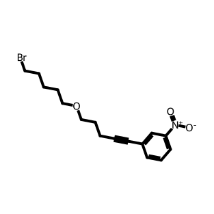 O=[N+]([O-])c1cccc(C#CCCCOCCCCCBr)c1